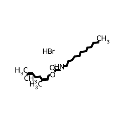 Br.CCCCCCCCCCCCNCC(=O)OCC=C(C)CCC=C(C)C